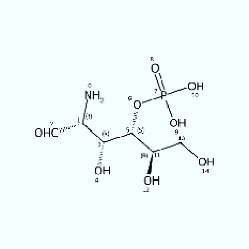 N[C@@H](C=O)[C@@H](O)[C@H](OP(=O)(O)O)[C@H](O)CO